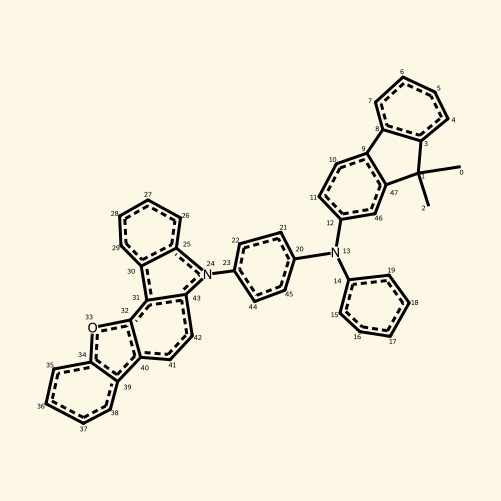 CC1(C)c2ccccc2-c2ccc(N(c3ccccc3)c3ccc(-n4c5ccccc5c5c6oc7ccccc7c6ccc54)cc3)cc21